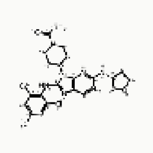 NC(=O)[C@H]1CC[C@@H](n2c(Nc3c(Cl)cc(C(F)(F)F)cc3Cl)nc3cnc(N[C@@H]4CCOC4)nc32)CC1